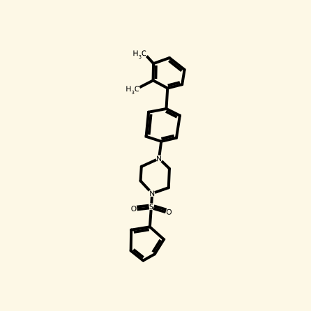 Cc1cccc(-c2ccc(N3CCN(S(=O)(=O)c4ccccc4)CC3)cc2)c1C